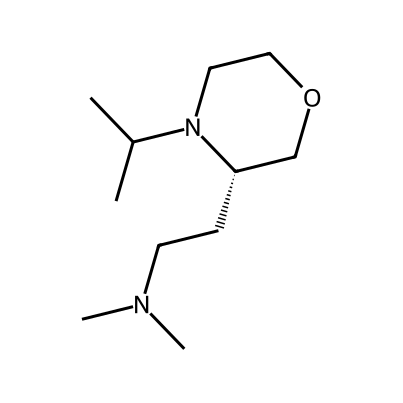 CC(C)N1CCOC[C@@H]1CCN(C)C